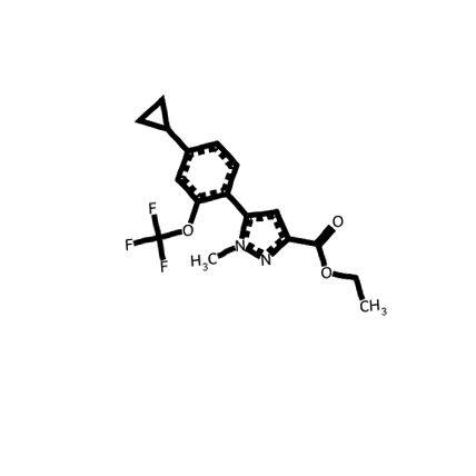 CCOC(=O)c1cc(-c2ccc(C3CC3)cc2OC(F)(F)F)n(C)n1